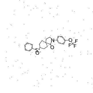 O=C1N(c2ccc(OC(F)(F)F)cc2)CCC12CCC([S+]([O-])c1ccccc1)CC2